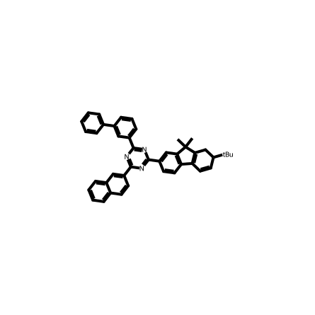 CC1(C)C2=C(C=CC(C(C)(C)C)C2)c2ccc(-c3nc(-c4cccc(-c5ccccc5)c4)nc(-c4ccc5ccccc5c4)n3)cc21